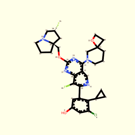 Oc1cc(Cl)c(C2CC2)c(-c2ncc3c(N4CCCC5(CCO5)C4)nc(OC[C@@]45CCCN4C[C@H](F)C5)nc3c2F)c1